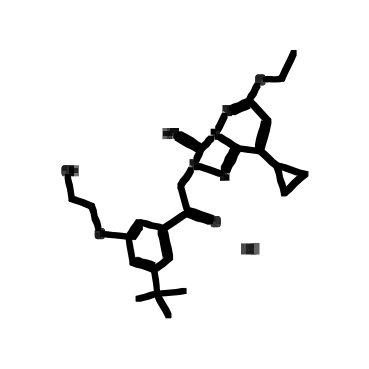 CCOc1cc(C2CC2)c2nn(CC(=O)c3cc(OCCO)cc(C(C)(C)C)c3)c(=N)n2n1.Cl